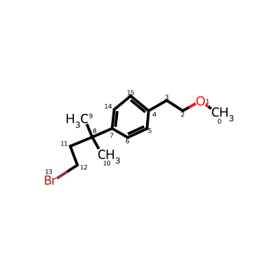 COCCc1ccc(C(C)(C)CCBr)cc1